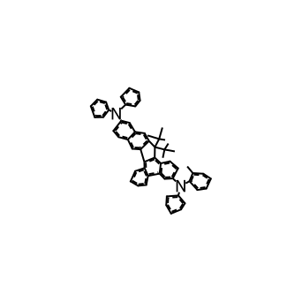 Cc1ccccc1N(c1ccccc1)c1ccc2c3c(c4ccccc4c2c1)-c1cc2ccc(N(c4ccccc4)c4ccccc4)cc2cc1C3(C(C)(C)C)C(C)(C)C